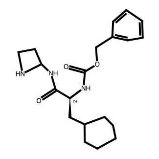 O=C(N[C@@H](CC1CCCCC1)C(=O)NC1CCN1)OCc1ccccc1